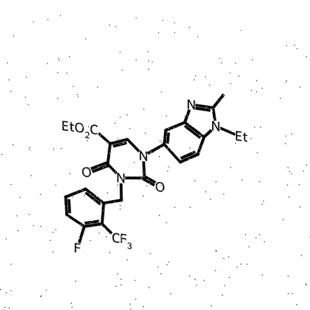 CCOC(=O)c1cn(-c2ccc3c(c2)nc(C)n3CC)c(=O)n(Cc2cccc(F)c2C(F)(F)F)c1=O